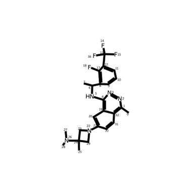 Cc1nnc(NC(C)c2cccc(C(F)(F)F)c2F)c2cc(N3CC(C)(N(C)C)C3)ccc12